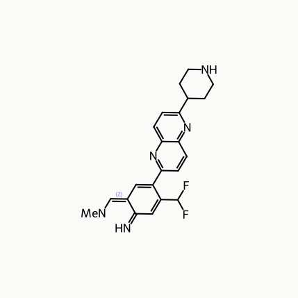 CN/C=C1/C=C(c2ccc3nc(C4CCNCC4)ccc3n2)C(C(F)F)=CC1=N